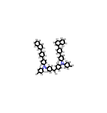 Cc1ccc(N(c2ccc(-c3ccc(-c4ccc5ccccc5c4)cc3)cc2)c2ccc([C@H](C)c3ccc(N(c4ccc(C)cc4)c4ccc(-c5ccc(-c6cccc7ccccc67)cc5)cc4)cc3)cc2)cc1